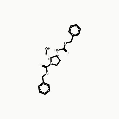 O=C(N[C@@H]1CCN(C(=O)OCc2ccccc2)[C@@H]1CO)OCc1ccccc1